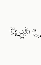 O=C(O)C(O)CCS(=O)(=O)Cc1cccc(Oc2ccccc2)c1